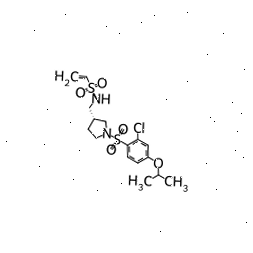 C=CS(=O)(=O)NC[C@H]1CCN(S(=O)(=O)c2ccc(OC(C)C)cc2Cl)C1